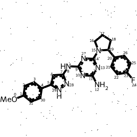 COc1ccc(-c2cc(Nc3nc(N)nc(N4CCCC4c4ccc(F)cc4)n3)n[nH]2)cc1